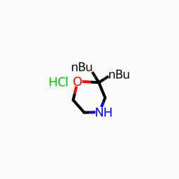 CCCCC1(CCCC)CNCCO1.Cl